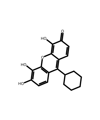 O=c1ccc2c(C3CCCCC3)c3ccc(O)c(O)c3oc-2c1O